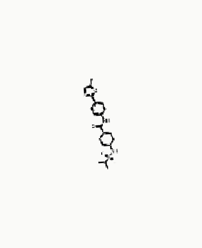 Cc1cnc(-c2ccc(NC(=O)C3CCC(NS(=O)(=O)C(C)C)CC3)cc2)o1